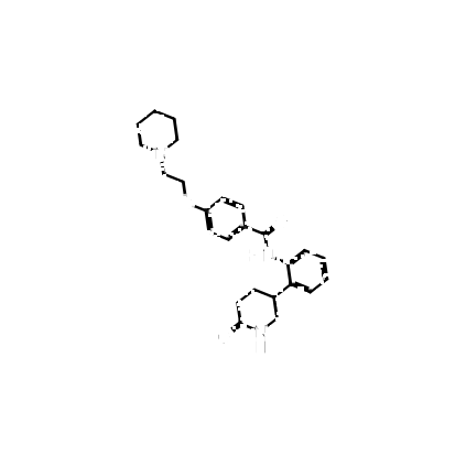 O=C1CCC(c2ccccc2NC(=O)c2ccc(OCCN3CCCCC3)cc2)CN1